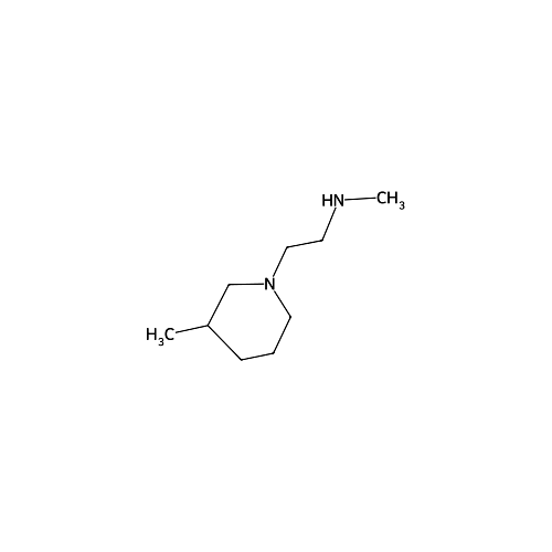 CNCCN1CCCC(C)C1